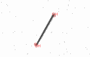 O=C(O)CCCCCCCCCCCCCCCCCCCCCCCCCCCCCCCCCCCCCCC(=O)O